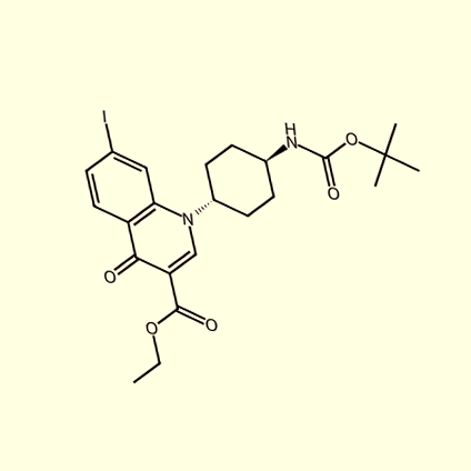 CCOC(=O)c1cn([C@H]2CC[C@H](NC(=O)OC(C)(C)C)CC2)c2cc(I)ccc2c1=O